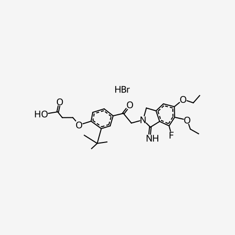 Br.CCOc1cc2c(c(F)c1OCC)C(=N)N(CC(=O)c1ccc(OCCC(=O)O)c(C(C)(C)C)c1)C2